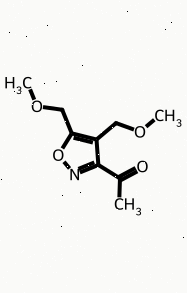 COCc1onc(C(C)=O)c1COC